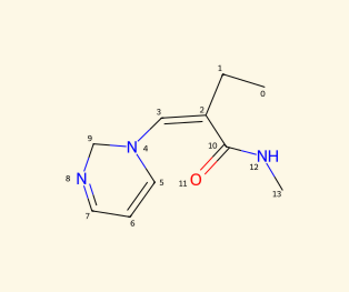 CCC(=CN1C=CC=NC1)C(=O)NC